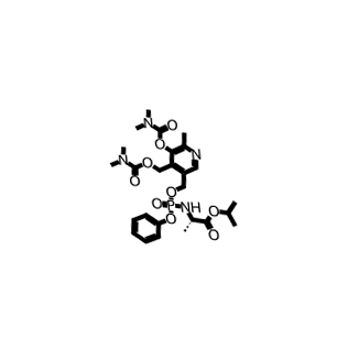 Cc1ncc(COP(=O)(N[C@@H](C)C(=O)OC(C)C)Oc2ccccc2)c(COC(=O)N(C)C)c1OC(=O)N(C)C